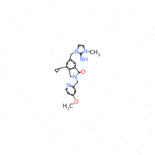 COc1ccnc(CN2Cc3c(cc(Cn4ccn(C)c4=N)cc3C3CC3)C2=O)c1